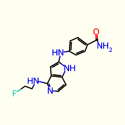 NC(=O)c1ccc(Nc2cc3c(NCCF)nccc3[nH]2)cc1